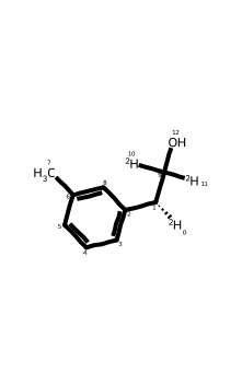 [2H][C@H](c1cccc(C)c1)C([2H])([2H])O